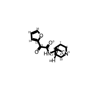 O=C(N[C@H]1CN2CCC1CC2)C(=O)c1ccco1